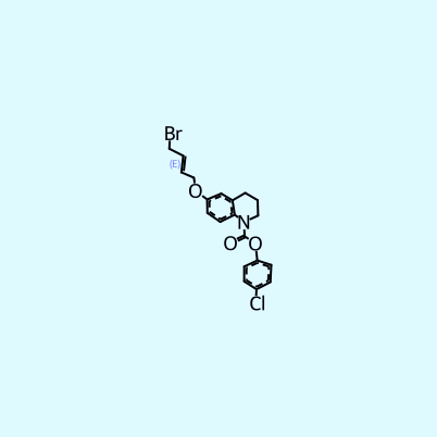 O=C(Oc1ccc(Cl)cc1)N1CCCc2cc(OC/C=C/CBr)ccc21